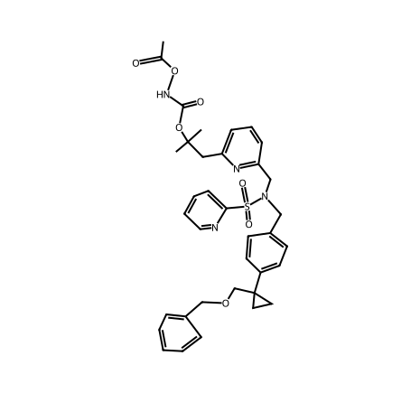 CC(=O)ONC(=O)OC(C)(C)Cc1cccc(CN(Cc2ccc(C3(COCc4ccccc4)CC3)cc2)S(=O)(=O)c2ccccn2)n1